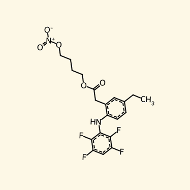 CCc1ccc(Nc2c(F)c(F)cc(F)c2F)c(CC(=O)OCCCCO[N+](=O)[O-])c1